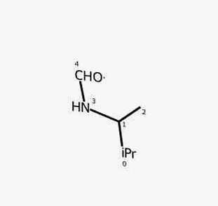 CC(C)C(C)N[C]=O